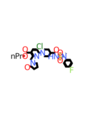 CCCOC(=O)c1cc(Cl)c(N2CCC(C(=O)NS(=O)(=O)N(C)c3ccc(F)cc3)CC2)nc1CN1CCCC1=O